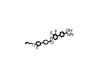 C=CCCOc1ccc(C2CCC(C(=O)Oc3ccc(-c4ccc(C(O)CCC)cc4)c(F)c3F)CC2)cc1F